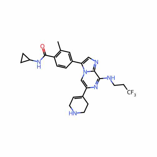 Cc1cc(-c2cnc3c(NCCC(F)(F)F)nc(C4=CCNCC4)cn23)ccc1C(=O)NC1CC1